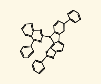 c1ccc(-c2ccc3c(c2)c2ccc4nc(-c5ccccc5)oc4c2n3-c2nc(-c3ccccc3)c3ccccc3n2)cc1